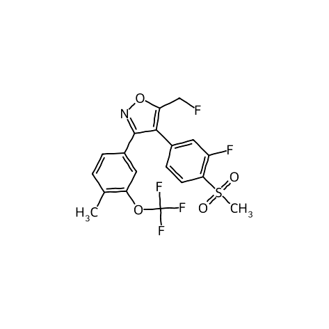 Cc1ccc(-c2noc(CF)c2-c2ccc(S(C)(=O)=O)c(F)c2)cc1OC(F)(F)F